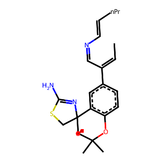 C\C=C(/C=N\C=C\CCC)c1ccc2c(c1)C1(CSC(N)=N1)C1(COC1)C(C)(C)O2